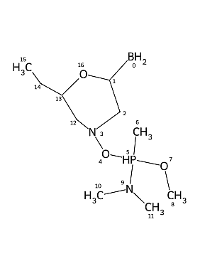 BC1CN(O[PH](C)(OC)N(C)C)CC(CC)O1